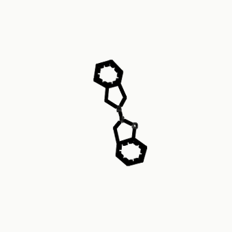 c1ccc2c(c1)CB(B1Cc3ccccc3O1)C2